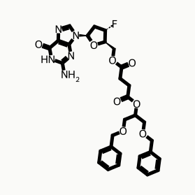 Nc1nc2c(ncn2[C@H]2C[C@H](F)[C@@H](COC(=O)CCC(=O)OC(COCc3ccccc3)COCc3ccccc3)O2)c(=O)[nH]1